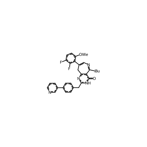 CCC(C)C1=NC=C(c2c(OC)ccc(F)c2F)Cc2nc(Cc3ccc(-c4cccnc4)cc3)[nH]c(=O)c21